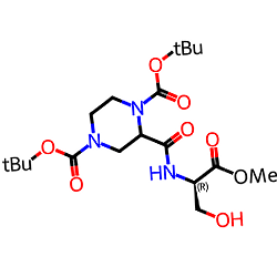 COC(=O)[C@@H](CO)NC(=O)C1CN(C(=O)OC(C)(C)C)CCN1C(=O)OC(C)(C)C